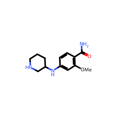 COc1cc(NC2CCCNC2)ccc1C(N)=O